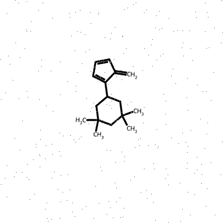 C=C1C=CC=C1C1CC(C)(C)CC(C)(C)C1